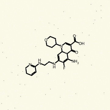 NC1=C(F)C(NCCNC2=NCCC=C2)=CC2C1C(=O)C(C(=O)O)=CN2C1CCOCC1